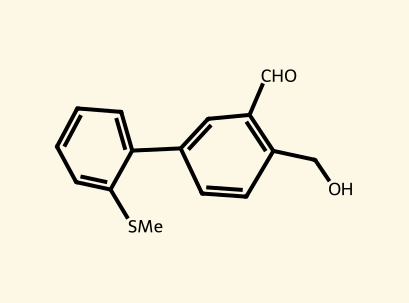 CSc1ccccc1-c1ccc(CO)c(C=O)c1